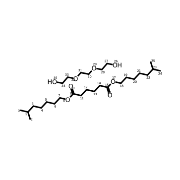 CC(C)CCCCCOC(=O)CCCCC(=O)OCCCCCC(C)C.OCCOCCOCCO